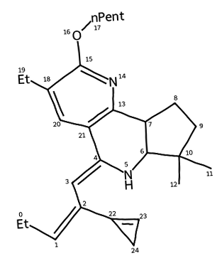 CC/C=C(\C=C1/NC2C(CCC2(C)C)c2nc(OCCCCC)c(CC)cc21)C1=CC1